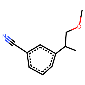 COCC(C)c1cccc(C#N)c1